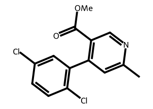 COC(=O)c1cnc(C)cc1-c1cc(Cl)ccc1Cl